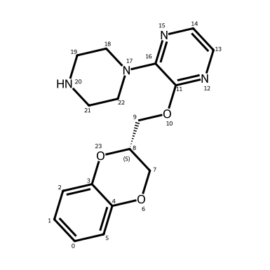 c1ccc2c(c1)OC[C@@H](COc1nccnc1N1CCNCC1)O2